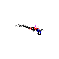 CCCCCCCCCCCCCCCCOc1ccc(OCC(=O)N(Cc2cccc[n+]2CCC)C(C)=O)c(C)c1.[I-]